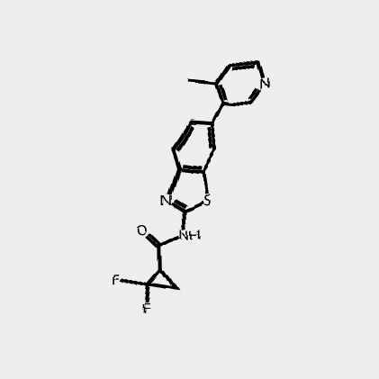 Cc1ccncc1-c1ccc2nc(NC(=O)C3CC3(F)F)sc2c1